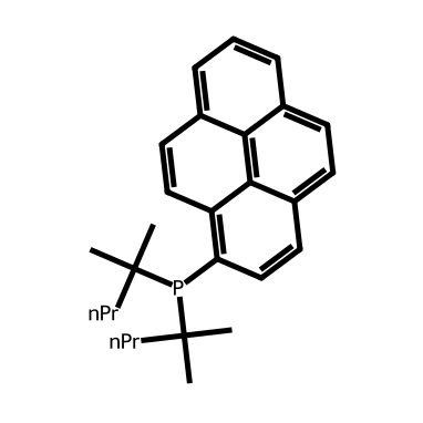 CCCC(C)(C)P(c1ccc2ccc3cccc4ccc1c2c34)C(C)(C)CCC